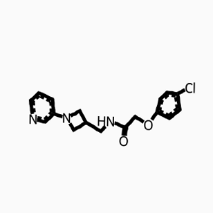 O=C(COc1ccc(Cl)cc1)NCC1CN(c2cccnc2)C1